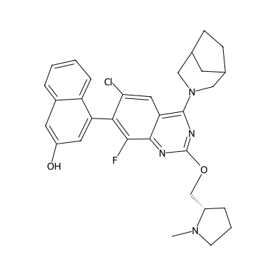 CN1CCC[C@H]1COc1nc(N2CC3CCC(C3)C2)c2cc(Cl)c(-c3cc(O)cc4ccccc34)c(F)c2n1